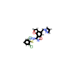 Clc1cccc(Cl)c1SNc1noc2cc(Cn3cccn3)c3c(c12)OCC3